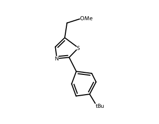 COCc1cnc(-c2ccc(C(C)(C)C)cc2)s1